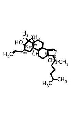 C=CC[C@@H]1C[C@]2(C)C3=C(CC[C@H]2C(C)(C)[C@@H]1O)C1=CC[C@H]([C@H](C)CCCC(C)C)[C@@]1(C)CC3